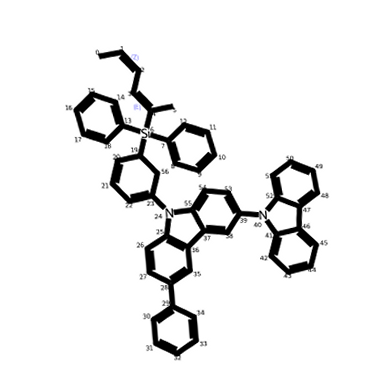 C/C=C\C=C(/C)[Si](c1ccccc1)(c1ccccc1)C1C=CC=C(n2c3ccc(-c4ccccc4)cc3c3cc(-n4c5ccccc5c5ccccc54)ccc32)C1